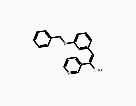 O=[C]C(=Cc1cccc(OCc2ccccc2)c1)c1cccnc1